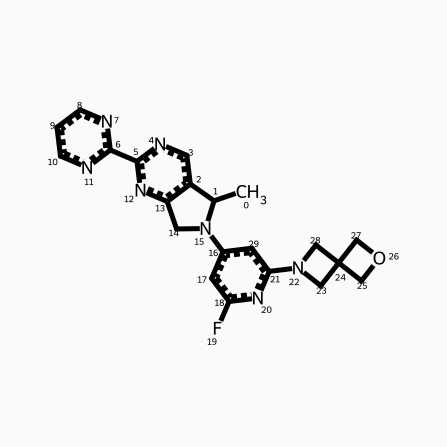 CC1c2cnc(-c3ncccn3)nc2CN1c1cc(F)nc(N2CC3(COC3)C2)c1